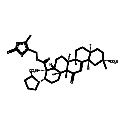 CCOC(=O)[C@H]1CCCN1[C@H]1CC[C@@]2(C)[C@@H](CC[C@]3(C)[C@@H]2C(=O)C=C2[C@@H]4C[C@@](C)(C(=O)O)CC[C@]4(C)CC[C@]23C)[C@]1(C)C(=O)OCc1oc(=O)oc1C